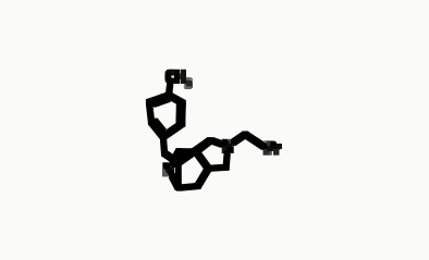 Cc1ccc(CC2C3CC4CN(CC(C)C)C2C4C=N3)cc1